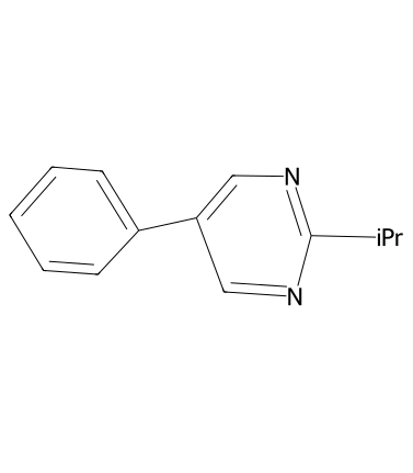 CC(C)c1ncc(-c2ccccc2)cn1